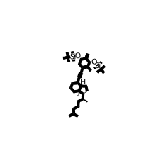 C=C1[C@H](O[Si](C)(C)C(C)(C)C)C(C)=C(C#CC2=CCC[C@]3(C)[C@@H]([C@@H](C)CCCC(C)C)CC[C@@H]23)C[C@H]1O[Si](C)(C)C(C)(C)C